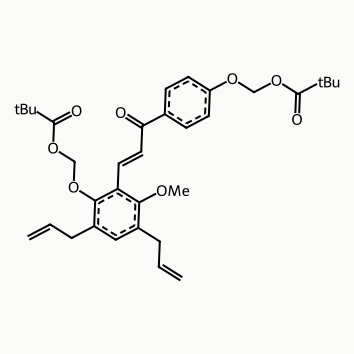 C=CCc1cc(CC=C)c(OCOC(=O)C(C)(C)C)c(C=CC(=O)c2ccc(OCOC(=O)C(C)(C)C)cc2)c1OC